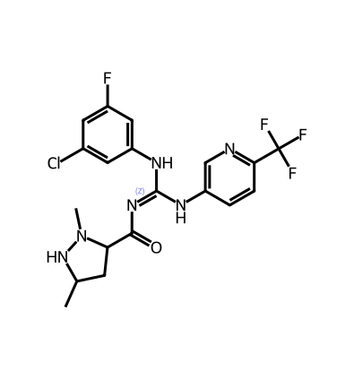 CC1CC(C(=O)/N=C(\Nc2ccc(C(F)(F)F)nc2)Nc2cc(F)cc(Cl)c2)N(C)N1